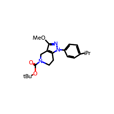 COc1nn(-c2ccc(C(C)C)cc2)c2c1CN(C(=O)OC(C)(C)C)CC2